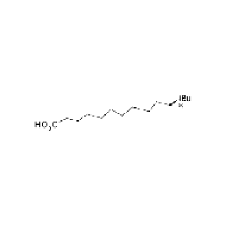 CC[C@H](C)CCCCCCCCCCC(=O)O